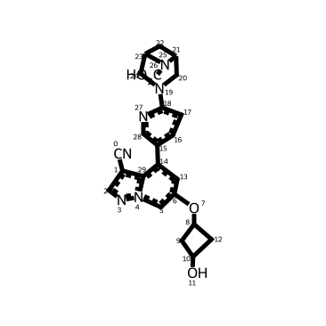 N#Cc1cnn2cc(OC3CC(O)C3)cc(-c3ccc(N4CC5CC(C4)N5C(=O)O)nc3)c12